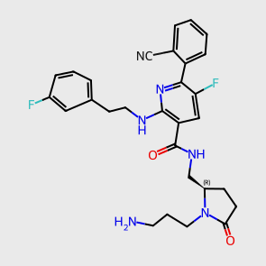 N#Cc1ccccc1-c1nc(NCCc2cccc(F)c2)c(C(=O)NC[C@H]2CCC(=O)N2CCCN)cc1F